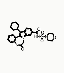 O=C1Cn2c(c(C3CCCCC3)c3ccc(C(=O)NS(=O)(=O)N4CCOCC4)cc32)-c2ccccc2N1